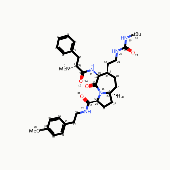 CN[C@H](Cc1ccccc1)C(=O)N[C@@H]1C(=O)N2[C@@H](CC[C@@H]1CCNC(=O)NC(C)(C)C)CC[C@H]2C(=O)NCCc1ccc(OC)cc1